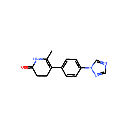 CC1=C(c2ccc(-n3cncn3)cc2)CCC(=O)N1